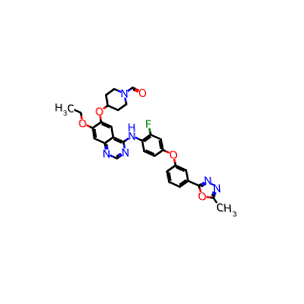 CCOc1cc2ncnc(Nc3ccc(Oc4cccc(-c5nnc(C)o5)c4)cc3F)c2cc1OC1CCN(C=O)CC1